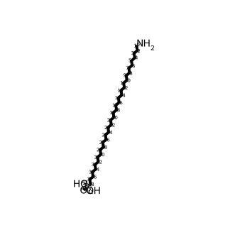 NCCCCCCCCCCCCCCCCCCCCCCCCCCCCCCCCCCCCCCP(=O)(O)O